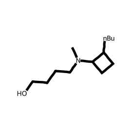 CCCCC1CCC1N(C)CCCCO